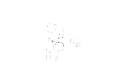 CC[C@@H](Nc1nc(Nc2cccc(C)c2)c(C(N)=O)cc1F)[C@H](C)N